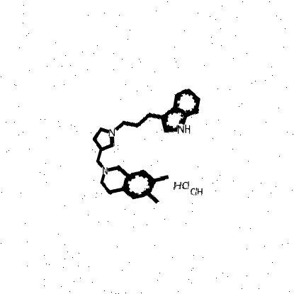 Cc1cc2c(cc1C)CN(CC1CCN(CCCc3c[nH]c4ccccc34)C1)CC2.Cl.Cl